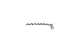 CCCCCCCCCCCCCCCCN(C)C=O